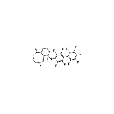 C=C1/C=C\C=C(\C)Sc2c(Nc3c(F)c(F)c(-c4c(F)c(F)c(C)c(F)c4F)c(F)c3F)cccc21